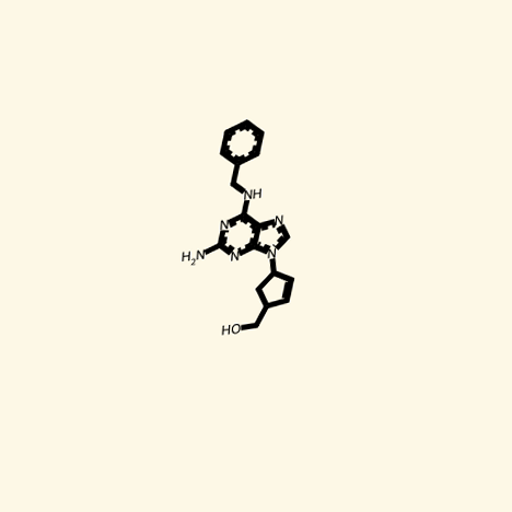 Nc1nc(NCc2ccccc2)c2ncn(C3C=CC(CO)C3)c2n1